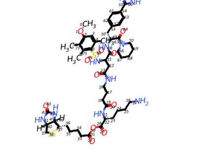 COc1cc(C)c(S(=O)(=O)NC(CC(=O)NCCCC(=O)N[C@@H](CCCCN)C(=O)OC(=O)CCCC[C@@H]2SC[C@@H]3NC(=O)N[C@@H]32)C(=O)N[C@H](Cc2ccc(-c3noc(=O)[nH]3)cc2)C(=O)N2CCCCC2)c(C)c1C